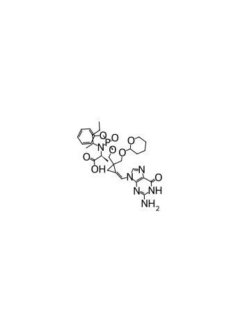 CCCC(C)N([C@@H](C)C(=O)O)[P@](=O)(OCC1(COC2CCCCO2)C/C1=C/n1cnc2c(=O)[nH]c(N)nc21)Oc1ccccc1